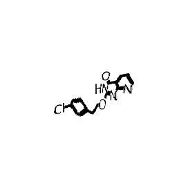 O=c1[nH]c(OCCc2ccc(Cl)cc2)nc2ncccc12